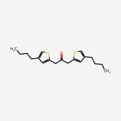 CCCCc1csc(CC(=O)Cc2cc(CCCC)cs2)c1